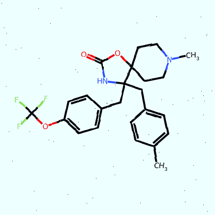 Cc1ccc(CC2(Cc3ccc(OC(F)(F)F)cc3)NC(=O)OC23CCN(C)CC3)cc1